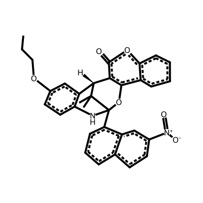 CCCOc1ccc2c(c1)[C@@H]1c3c(c4ccccc4oc3=O)OC(c3cccc4ccc([N+](=O)[O-])cc34)(N2)C1(C)C